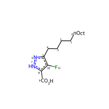 CCCCCCCCCCCCc1n[nH]c(C(=O)O)c1F